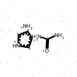 N.NC(N)=O.c1cc[nH]c1